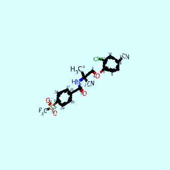 CC(C#N)(COc1ccc(C#N)cc1Cl)NC(=O)c1ccc(S(=O)(=O)C(F)(F)F)cc1